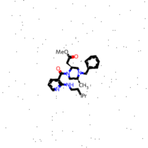 COC(=O)C[C@H]1CN(Cc2ccccc2)[C@@H](C)CN1C(=O)c1cccnc1NCCC(C)C